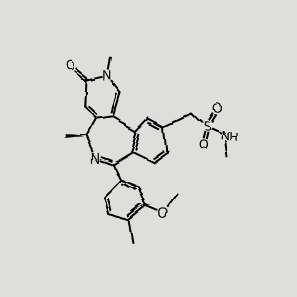 CNS(=O)(=O)Cc1ccc2c(c1)-c1cn(C)c(=O)cc1[C@H](C)N=C2c1ccc(C)c(OC)c1